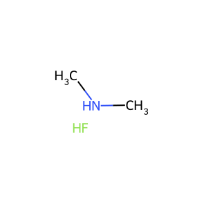 CNC.F